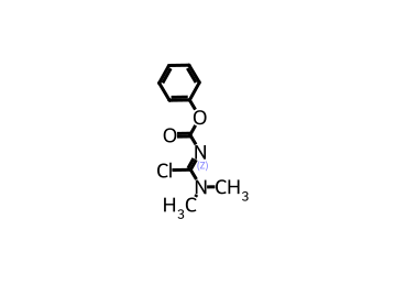 CN(C)/C(Cl)=N/C(=O)Oc1ccccc1